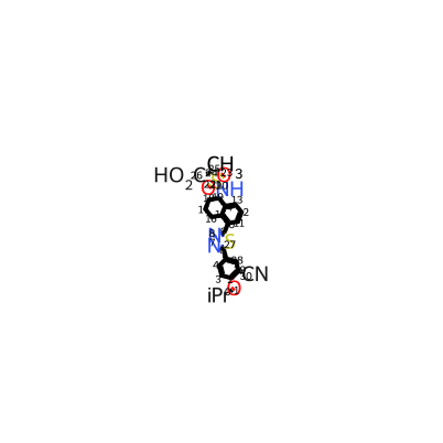 CC(C)Oc1ccc(-c2nnc(-c3cccc4c3CCCC4NS(=O)(=O)C(C)C(=O)O)s2)cc1C#N